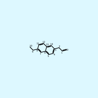 C=CCc1ccc2cc(CC)ccc2c1